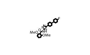 COc1cccc(OC)c1C(=O)Nc1nnc(-c2ccc(-c3ccc(F)cc3)cc2)s1